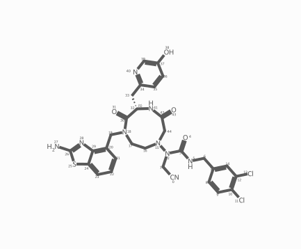 N#CCN(C(=O)NCc1ccc(Cl)c(Cl)c1)N1CCN(Cc2cccc3sc(N)nc23)C(=O)[C@H](Cc2ccc(O)cn2)NC(=O)C1